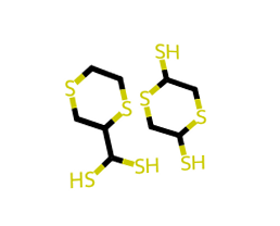 SC(S)C1CSCCS1.SC1CSC(S)CS1